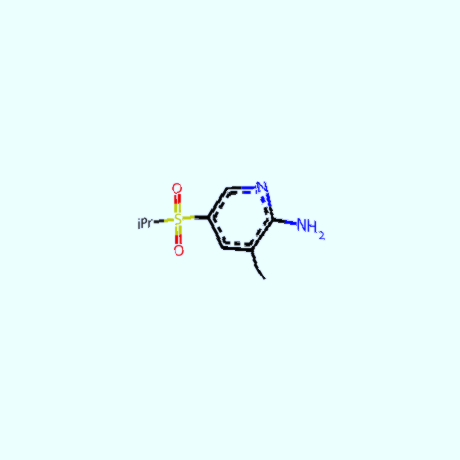 Cc1cc(S(=O)(=O)C(C)C)cnc1N